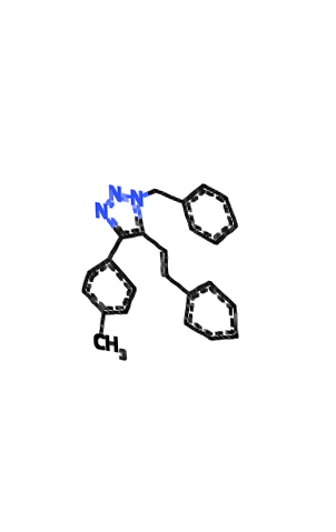 Cc1ccc(-c2nnn(Cc3ccccc3)c2/C=C/c2ccccc2)cc1